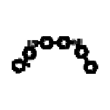 CC1(c2ccc(Nc3ccc(-c4ccc(Nc5ccc(-c6ccccc6)cc5)cc4)cc3)cc2)C=CC=CC1